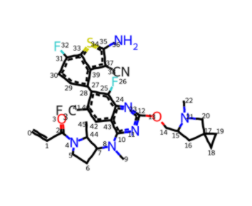 C=CC(=O)N1CCC(N(C)c2nc(OCC3CC4(CC4)CN3C)nc3c(F)c(-c4ccc(F)c5sc(N)c(C#N)c45)c(C(F)(F)F)cc23)C1C